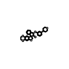 O=C1N(Oc2cccc(N3CCOCC3)c2)c2ccccc2C12COc1cc3c(cc12)OCCO3